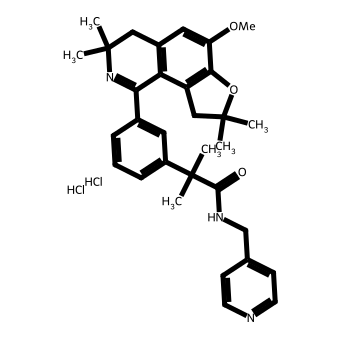 COc1cc2c(c3c1OC(C)(C)C3)C(c1cccc(C(C)(C)C(=O)NCc3ccncc3)c1)=NC(C)(C)C2.Cl.Cl